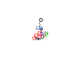 CCC(C)Cc1c(C(=O)Nc2cc([C@H]3C[C@H]3C(=O)O)ccc2C(F)(F)F)ccn1CCCc1ccccc1